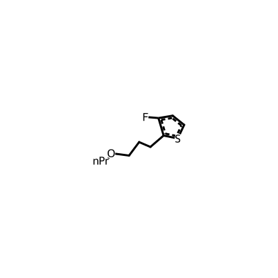 [CH2]CCOCCCc1sccc1F